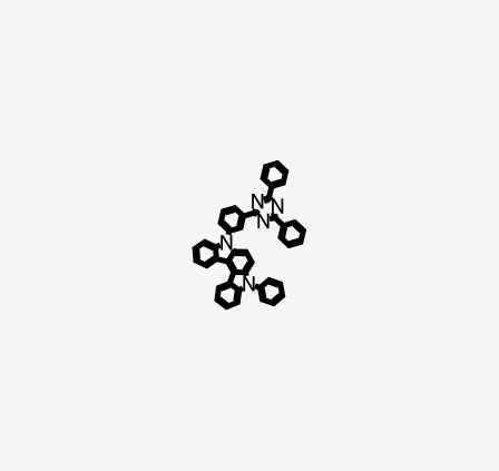 c1ccc(-c2nc(-c3ccccc3)nc(-c3cccc(-n4c5ccccc5c5c6c7ccccc7n(-c7ccccc7)c6ccc54)c3)n2)cc1